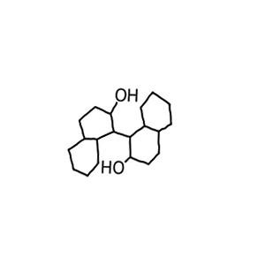 OC1CCC2CCCCC2C1C1C(O)CCC2CCCCC21